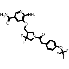 NC(=O)c1cnc(N)c(OCC2CN(C(=O)Cc3ccc(OC(F)(F)F)cc3)CC2(F)F)c1